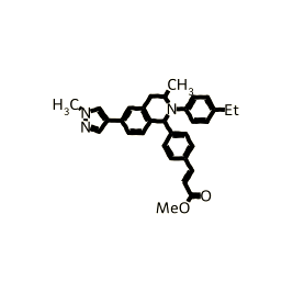 CCc1ccc(N2C(C)Cc3cc(-c4cnn(C)c4)ccc3C2c2ccc(/C=C/C(=O)OC)cc2)cc1